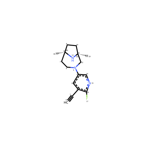 C#Cc1cc(N2CC[C@H]3CC[C@@H](C2)N3)cnc1F